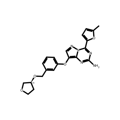 Cc1ccc(-c2nc(N)nc3c(Oc4cccc(CO[C@H]5CCOC5)c4)cnn23)o1